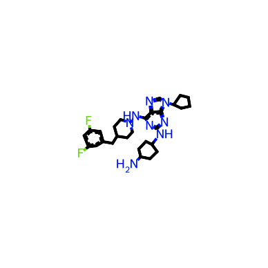 NC1CCC(Nc2nc(NN3CCC(Cc4cc(F)cc(F)c4)CC3)c3ncn(C4CCCC4)c3n2)CC1